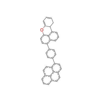 C1=CCC2C(=C1)Oc1ccc(-c3ccc(-c4ccc5ccc6cccc7ccc4c5c67)cc3)c3cccc2c13